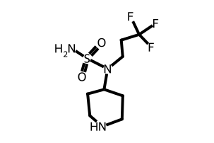 NS(=O)(=O)N(CCC(F)(F)F)C1CCNCC1